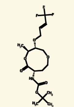 C[C@@H]1OC(=O)[C@@H](NC(=O)OC(C)(C)C)CCOC[C@H]1OC/C=C/C(F)(F)F